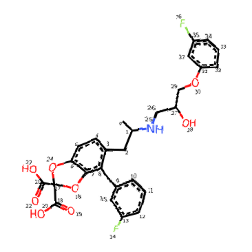 CC(Cc1ccc2c(c1-c1cccc(F)c1)OC(C(=O)O)(C(=O)O)O2)NCC(O)COc1cccc(F)c1